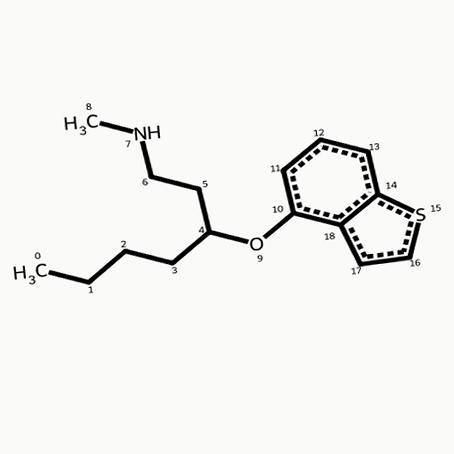 CCCCC(CCNC)Oc1cccc2sccc12